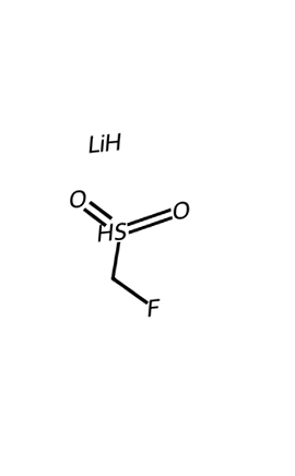 O=[SH](=O)CF.[LiH]